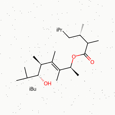 CC[C@H](C)C(C)(C)[C@@H](O)[C@@H](C)/C(C)=C(\C)[C@H](C)OC(=O)C(C)[C@@H](C)CC(C)C